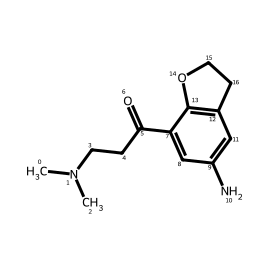 CN(C)CCC(=O)c1cc(N)cc2c1OCC2